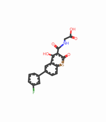 O=C(O)CNC(=O)c1c(O)c2cc(-c3cccc(F)c3)ccc2sc1=O